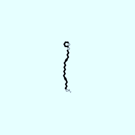 C=CCCCC#CCCCCCCCC#CCCCCOC1CCCCO1